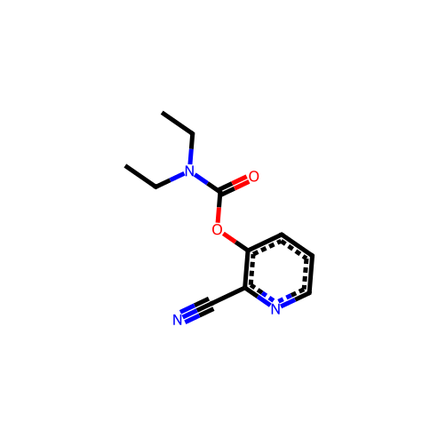 CCN(CC)C(=O)Oc1cccnc1C#N